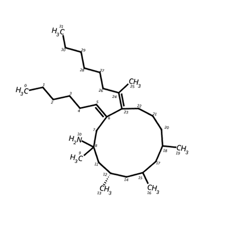 CCCCC/C=C1\CC(C)(N)C[C@@H](C)CC(C)CC(C)CCC\C1=C(/C)CCCCCC